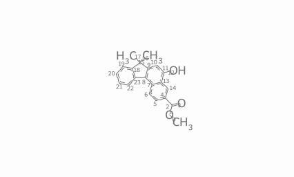 COC(=O)c1ccc2c3c(cc(O)c2c1)C(C)(C)c1ccccc1-3